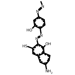 CN=Nc1ccc(N=Nc2c(S)cc3cc(N)ccc3c2O)c(O)c1